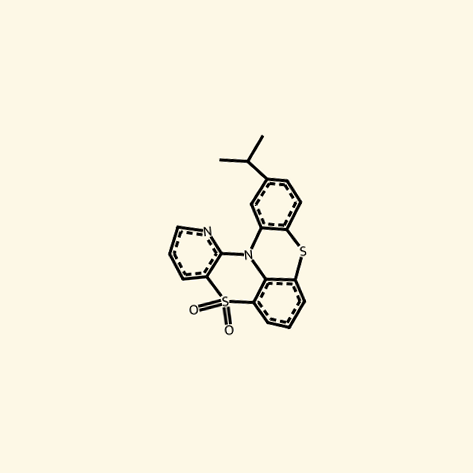 CC(C)c1ccc2c(c1)N1c3ncccc3S(=O)(=O)c3cccc(c31)S2